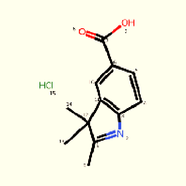 CC1=Nc2ccc(C(=O)O)cc2C1(C)C.Cl